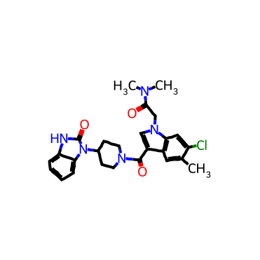 Cc1cc2c(C(=O)N3CCC(n4c(=O)[nH]c5ccccc54)CC3)cn(CC(=O)N(C)C)c2cc1Cl